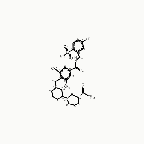 CCS(=O)(=O)c1ccc(Cl)cc1CNC(=O)c1cc(Cl)c(CN2CCC[C@H](N3CCC[C@@H](C(N)=O)C3)C2)c(C(F)(F)F)c1